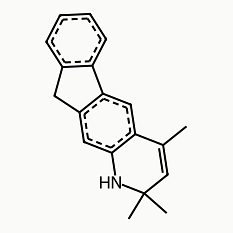 CC1=CC(C)(C)Nc2cc3c(cc21)-c1ccccc1C3